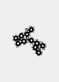 c1ccc(C2(c3ccccc3)c3ccccc3-c3ccc(N(c4ccc(-c5ccc(-c6ccccc6-n6c7ccccc7c7ccccc76)cc5)cc4)c4ccc5sc6ccccc6c5c4)cc32)cc1